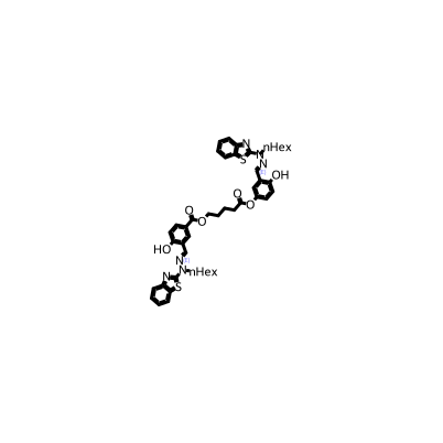 CCCCCCN(/N=C/c1cc(OC(=O)CCCCOC(=O)c2ccc(O)c(/C=N/N(CCCCCC)c3nc4ccccc4s3)c2)ccc1O)c1nc2ccccc2s1